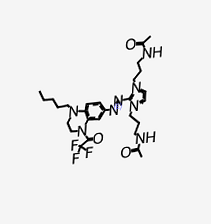 CCCCCN1CCN(C(=O)C(F)(F)F)c2cc(/N=N/c3n(CCCNC(C)=O)cc[n+]3CCCNC(C)=O)ccc21